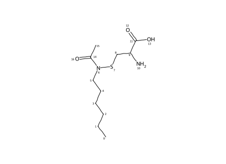 CCCCCCN(SCC(N)C(=O)O)C(C)=O